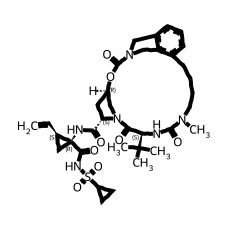 C=C[C@@H]1C[C@]1(NC(=O)[C@@H]1C[C@@H]2CN1C(=O)[C@H](C(C)(C)C)NC(=O)N(C)CCCCc1cccc3c1CN(C3)C(=O)O2)C(=O)NS(=O)(=O)C1CC1